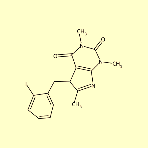 CC1=Nc2c(c(=O)n(C)c(=O)n2C)C1Cc1ccccc1I